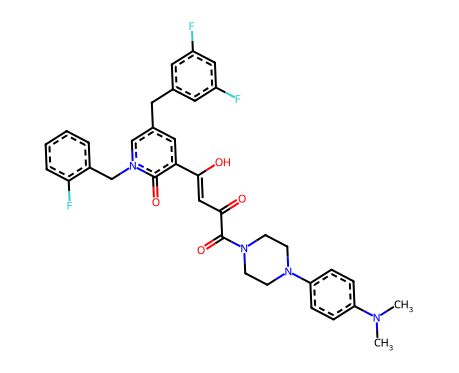 CN(C)c1ccc(N2CCN(C(=O)C(=O)/C=C(\O)c3cc(Cc4cc(F)cc(F)c4)cn(Cc4ccccc4F)c3=O)CC2)cc1